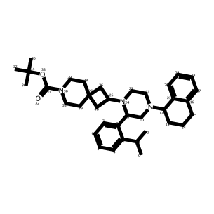 CC(C)c1ccccc1C1CN(C2CCCc3ccccc32)CCN1C1CC2(CCN(C(=O)OC(C)(C)C)CC2)C1